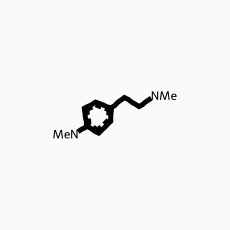 CNCCc1ccc(NC)cc1